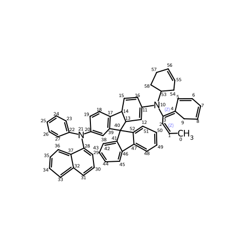 C/C=C\C(=C1\C=CC=CC1)N(C1=CC2C(C=C1)c1ccc(N(c3ccccc3)c3cccc4ccccc34)cc1C21c2ccccc2-c2ccccc21)C1CC=CCC1